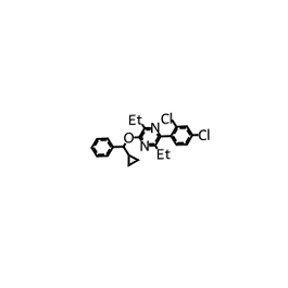 CCc1nc(-c2ccc(Cl)cc2Cl)c(CC)nc1OC(c1ccccc1)C1CC1